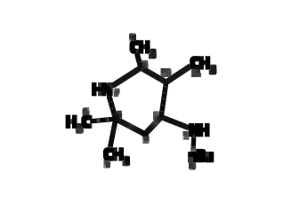 CCCCNC1CC(C)(C)NC(C)C1C